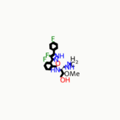 C=NNC[C@@H](NC(=O)c1cccc(F)c1-c1n[nH]c(-c2ccc(F)cc2)c1F)C(CO)OC